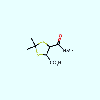 CNC(=O)C1SC(C)(C)SC1C(=O)O